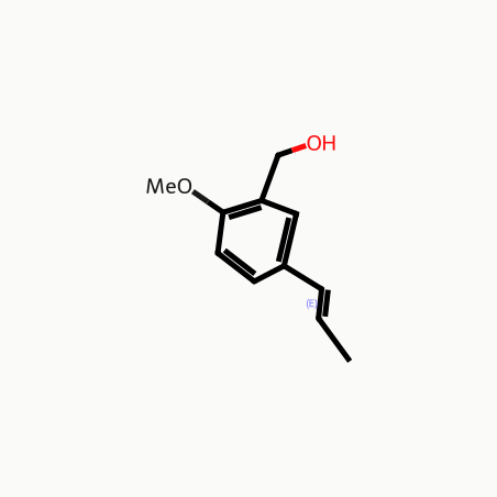 C/C=C/c1ccc(OC)c(CO)c1